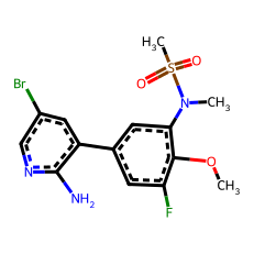 COc1c(F)cc(-c2cc(Br)cnc2N)cc1N(C)S(C)(=O)=O